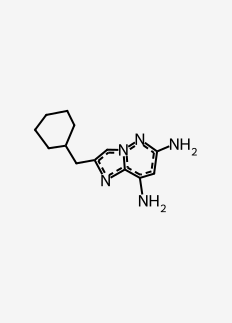 Nc1cc(N)c2nc(CC3CCCCC3)cn2n1